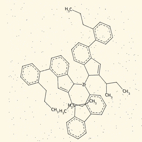 CCCc1ccccc1-c1cccc2c1C=C(C(C)CC)[CH]2[Zr]([c]1cccc2c1[SiH2]c1ccccc1-2)[CH]1C(C(C)CC)=Cc2c(-c3ccccc3CCC)cccc21